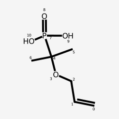 C=CCOC(C)(C)P(=O)(O)O